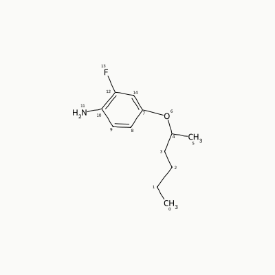 CCCCC(C)Oc1ccc(N)c(F)c1